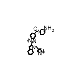 Cn1cc(Cn2c(-c3nc4cc(C(=O)N5CCC[C@@H](N)C5)ccc4n3C)cc3ccccc32)cn1